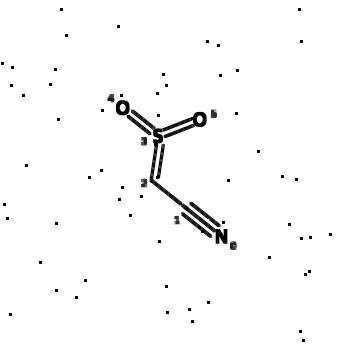 N#CC=S(=O)=O